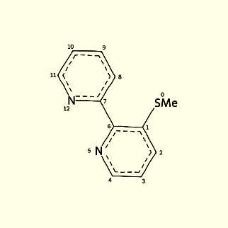 CSc1cccnc1-c1ccccn1